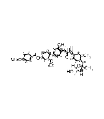 CCOc1cc(OCc2ccc(OC)cc2)ncc1-c1ncc(NC(=O)Nc2ccc(CC(C)(C)NC(=O)O)c(C(F)(F)F)c2)c(C)n1